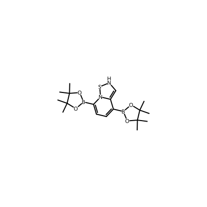 CC1(C)OB(C2=CC=C(B3OC(C)(C)C(C)(C)O3)N3SNC=C23)OC1(C)C